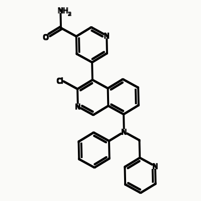 NC(=O)c1cncc(-c2c(Cl)ncc3c(N(Cc4ccccn4)c4ccccc4)cccc23)c1